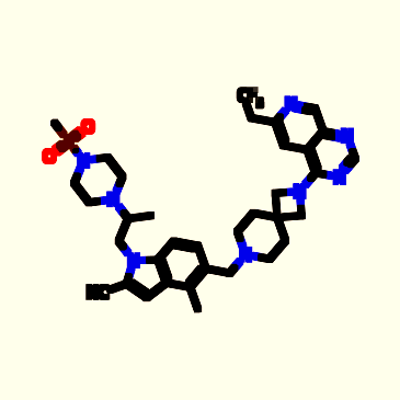 Cc1c(CN2CCC3(CC2)CN(c2ncnc4cnc(CC(F)(F)F)cc24)C3)ccc2c1cc(C#N)n2CC(C)N1CCN(S(C)(=O)=O)CC1